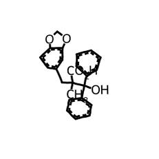 CC(Cc1ccc2c(c1)OCO2)(C(=O)O)C(O)(c1ccccc1)c1ccccc1